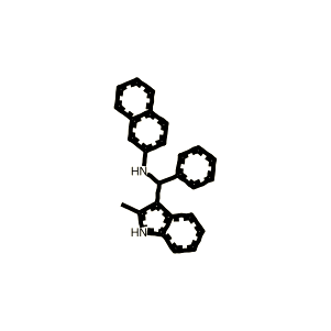 Cc1[nH]c2ccccc2c1C(Nc1ccc2ccccc2c1)c1ccccc1